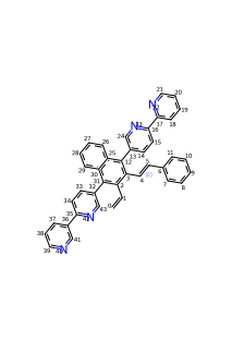 C=Cc1c(/C=C/c2ccccc2)c(-c2ccc(-c3ccccn3)nc2)c2ccccc2c1-c1ccc(-c2cccnc2)nc1